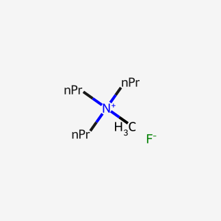 CCC[N+](C)(CCC)CCC.[F-]